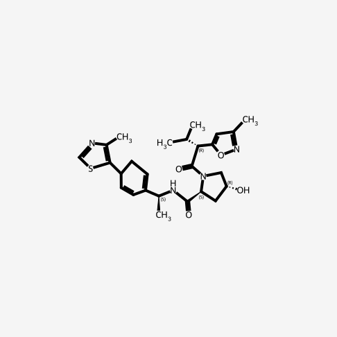 Cc1cc([C@H](C(=O)N2C[C@H](O)C[C@H]2C(=O)N[C@@H](C)C2=CCC(c3scnc3C)C=C2)C(C)C)on1